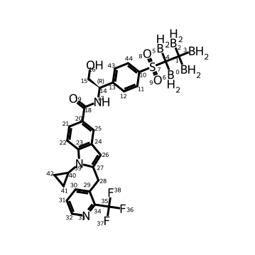 BC(B)(B)C(B)(B)S(=O)(=O)c1ccc([C@H](CO)NC(=O)c2ccc3c(c2)cc(Cc2cccnc2C(F)(F)F)n3C2CC2)cc1